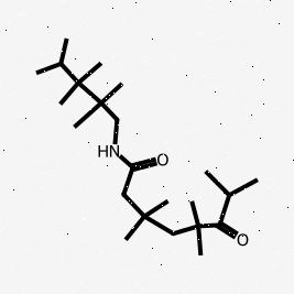 CC(C)C(=O)C(C)(C)CC(C)(C)CC(=O)NCC(C)(C)C(C)(C)C(C)C